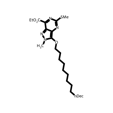 CCCCCCCCCCCCCCCCCCCOc1c2nc(SC)nc(C(=O)OCC)c2nn1C